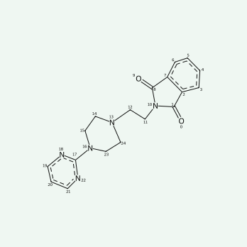 O=C1c2ccccc2C(=O)N1CCN1CCN(c2ncccn2)CC1